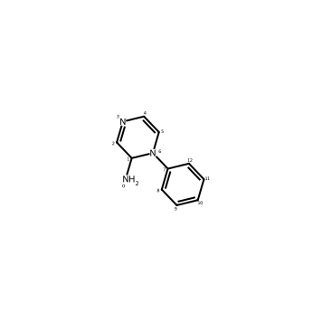 NC1C=NC=CN1c1ccccc1